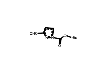 CC(C)(C)OC(=O)n1ccc(C=O)n1